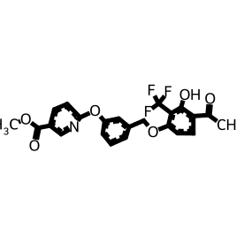 COC(=O)c1ccc(Oc2cccc(COc3ccc(C(C)=O)c(O)c3C(F)(F)F)c2)nc1